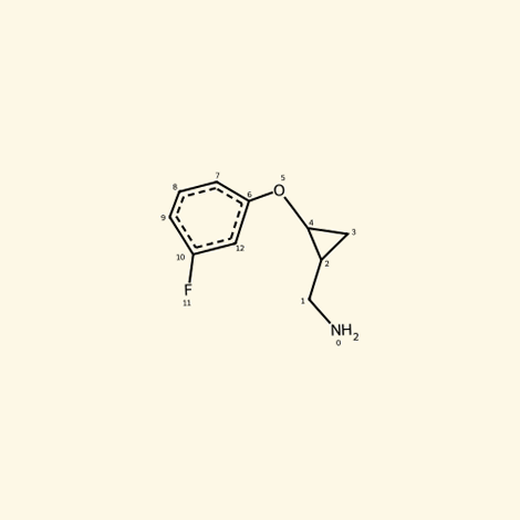 NCC1CC1Oc1cccc(F)c1